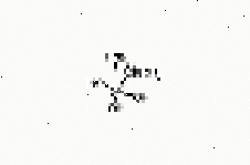 O.O[Si](O)(O)O.[BeH2].[NaH]